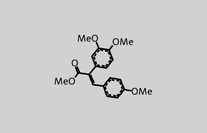 COC(=O)/C(=C/c1ccc(OC)cc1)c1ccc(OC)c(OC)c1